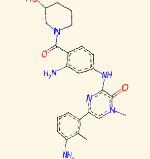 Cc1c(N)cccc1-c1cn(C)c(=O)c(Nc2ccc(C(=O)N3CCCC(O)C3)c(N)c2)n1